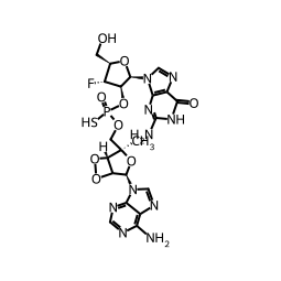 C[C@]1(COP(=O)(S)O[C@H]2[C@H](F)[C@@H](CO)O[C@H]2n2cnc3c(=O)[nH]c(N)nc32)O[C@@H](n2cnc3c(N)ncnc32)C2OO[C@@H]21